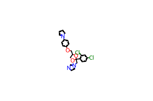 Clc1ccc(C2(Cn3ccnc3)OCC(COc3ccc(-n4cccc4)cc3)O2)c(Cl)c1